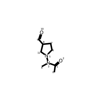 CC(=O)N(C)N1CCC([C]=O)C1